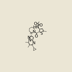 Cc1cc(NS(C)(=O)=O)c(C(=O)N2CCCC[C@H]2c2cc3nc(C4CC4)c(C)c(C)n3n2)s1